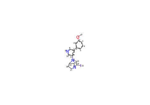 COc1cccc(-c2cncc(N3CC(I)N4CCC3C4)c2)c1